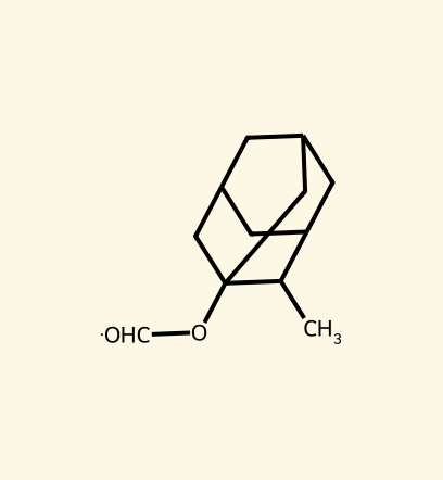 CC1C2CC3CC(C2)CC1(O[C]=O)C3